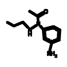 CCCNN(C(C)=O)c1cccc(N)c1